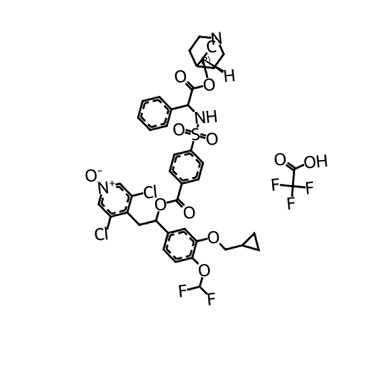 O=C(O)C(F)(F)F.O=C(OC(Cc1c(Cl)c[n+]([O-])cc1Cl)c1ccc(OC(F)F)c(OCC2CC2)c1)c1ccc(S(=O)(=O)NC(C(=O)O[C@H]2CN3CCC2CC3)c2ccccc2)cc1